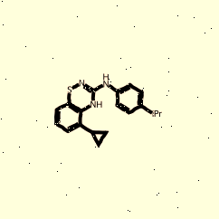 CC(C)c1ccc(NC2=NSc3cccc(C4CC4)c3N2)cc1